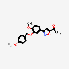 COc1ccc(COc2cc(-c3cc(C(C)=O)on3)ccc2OC)cc1